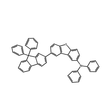 c1ccc(N(c2ccccc2)c2ccc3sc4ccc(-c5ccc6c(c5)C(c5ccccc5)(c5ccccc5)c5ccccc5-6)cc4c3c2)cc1